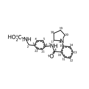 O=C(O)NCc1ccc(NC(=O)c2ccccc2N2CCCC2)cc1